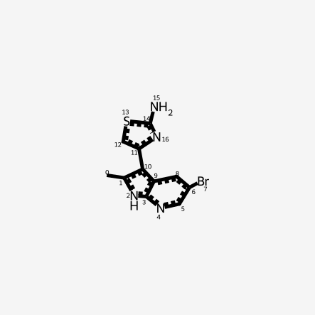 Cc1[nH]c2ncc(Br)cc2c1-c1csc(N)n1